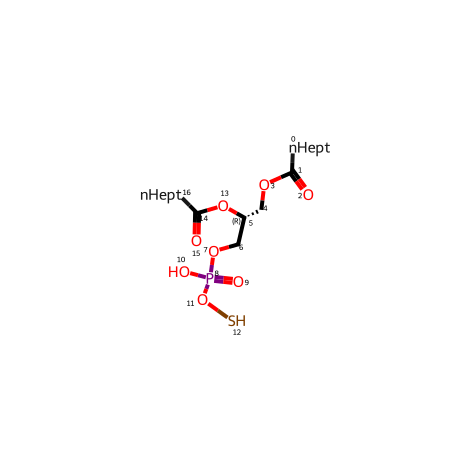 CCCCCCCC(=O)OC[C@H](COP(=O)(O)OS)OC(=O)CCCCCCC